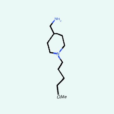 COCCCCN1CCC(CN)CC1